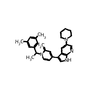 C=C1C=C(c2c[nH]c3ncc(N4CCCCC4)cc23)C=CN1C(C)c1cc(C)cc(C)c1